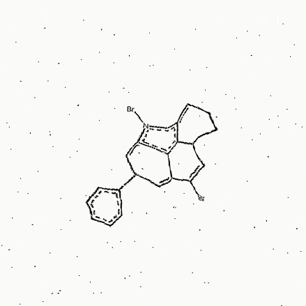 BrC1=CC2CCC=c3c2c2c(n3Br)=CC(c3ccccc3)C=C12